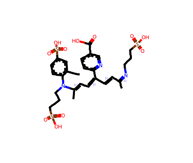 CC(/C=C/C(=C/C=C(\C)N(CCCS(=O)(=O)O)c1ccc(S(=O)(=O)O)cc1C)c1ccc(C(=O)O)cn1)=N/CCCS(=O)(=O)O